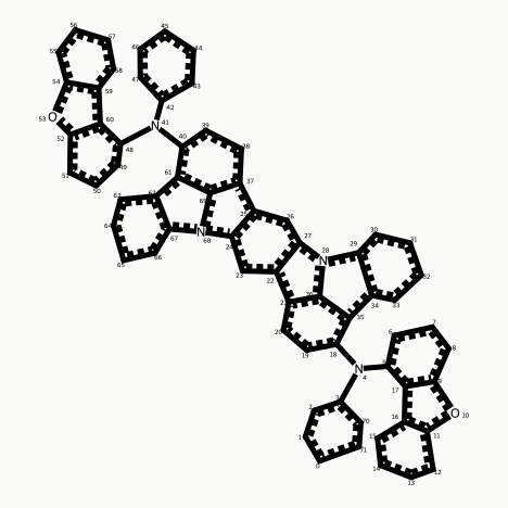 c1ccc(N(c2cccc3oc4ccccc4c23)c2ccc3c4cc5c(cc4n4c6ccccc6c2c34)c2ccc(N(c3ccccc3)c3cccc4oc6ccccc6c34)c3c4ccccc4n5c23)cc1